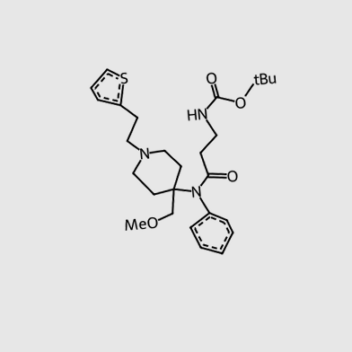 COCC1(N(C(=O)CCNC(=O)OC(C)(C)C)c2ccccc2)CCN(CCc2cccs2)CC1